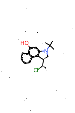 C[C@@H](Cl)[C@@H]1CN(C(C)(C)C)c2cc(O)c3ccccc3c21